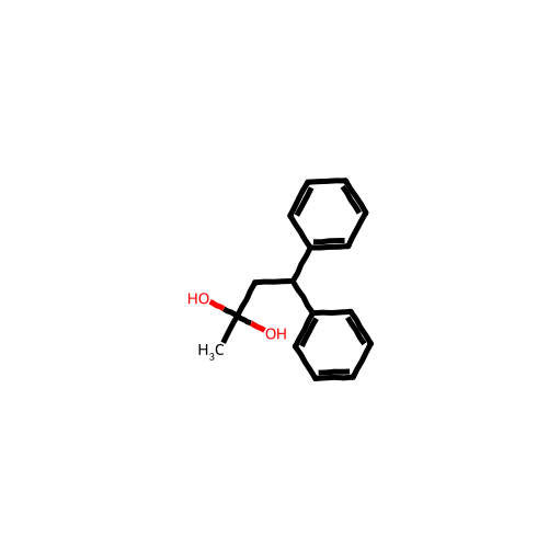 CC(O)(O)CC(c1ccccc1)c1ccccc1